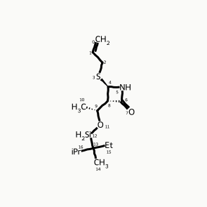 C=CCS[C@H]1NC(=O)[C@@H]1[C@@H](C)O[SiH2]C(C)(CC)C(C)C